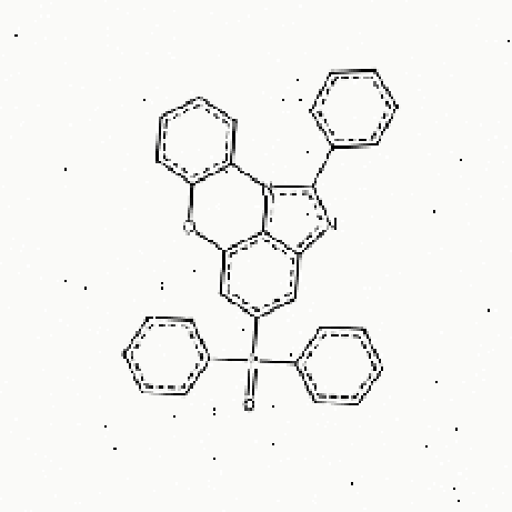 O=P(c1ccccc1)(c1ccccc1)c1cc2c3c(c1)nc(-c1ccccc1)n3-c1ccccc1O2